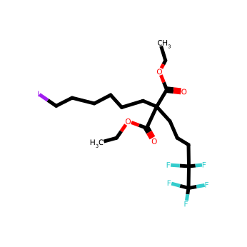 CCOC(=O)C(CCCCCCI)(CCCC(F)(F)C(F)(F)F)C(=O)OCC